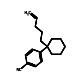 C=CCCCC1(c2ccc(C#N)cc2)CCCCC1